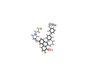 COCc1cccc(-c2ccc3c(c2)CCCC(c2cccc(F)c2O)=C3c2ccc(OC3CCN(CCCF)C3)cc2)c1